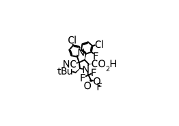 CC(C)(C)C[C@@H]1N(C(F)(F)C(=O)OF)[C@@H](C(=O)O)[C@H](c2cccc(Cl)c2F)[C@@]1(C#N)c1ccc(Cl)cn1